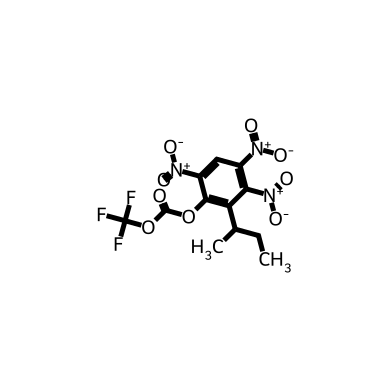 CCC(C)c1c(OC(=O)OC(F)(F)F)c([N+](=O)[O-])cc([N+](=O)[O-])c1[N+](=O)[O-]